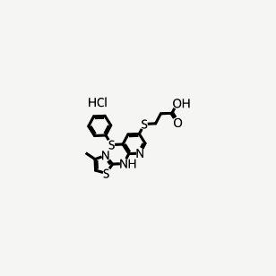 Cc1csc(Nc2ncc(SCCC(=O)O)cc2Sc2ccccc2)n1.Cl